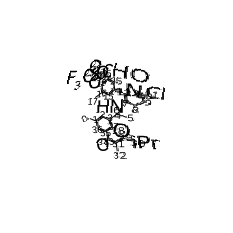 Cc1cc(C(C)Nc2ccc(Cl)nc2-c2cc(C)c(OS(=O)(=O)C(F)(F)F)c(C=O)c2)c2oc(C(C)C)c(C)c(=O)c2c1